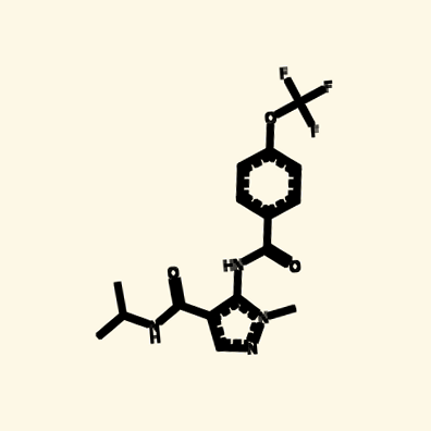 CC(C)NC(=O)c1cnn(C)c1NC(=O)c1ccc(OC(F)(F)F)cc1